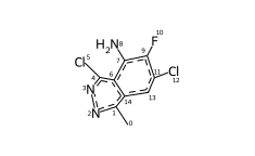 Cc1nnc(Cl)c2c(N)c(F)c(Cl)cc12